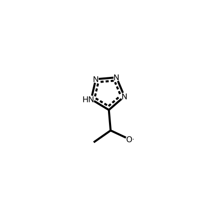 CC([O])c1nnn[nH]1